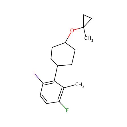 Cc1c(F)ccc(I)c1C1CCC(OC2(C)CC2)CC1